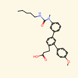 CCCCCNC(=O)N(C)c1cccc(-c2ccc(CCC(=O)O)c(-c3ccc(OC)cc3)c2)c1